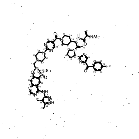 C=C(NC)C(=O)N[C@H](C(=O)N1CCC[C@H]1c1nc(C(=O)c2ccc(F)cc2)cs1)C1CCN(C(=O)c2cnc(N3CCN(CCOc4cc5ncnc(Nc6n[nH]c(C)c6C)c5cc4S(=O)(=O)C(C)(C)C)CC3)nc2)CC1